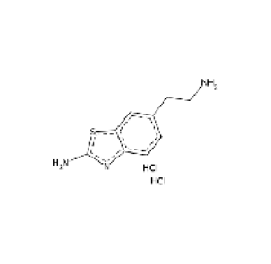 Cl.Cl.NCCc1ccc2nc(N)sc2c1